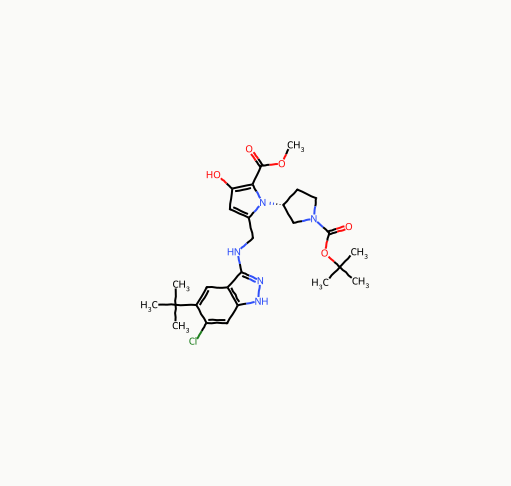 COC(=O)c1c(O)cc(CNc2n[nH]c3cc(Cl)c(C(C)(C)C)cc23)n1[C@@H]1CCN(C(=O)OC(C)(C)C)C1